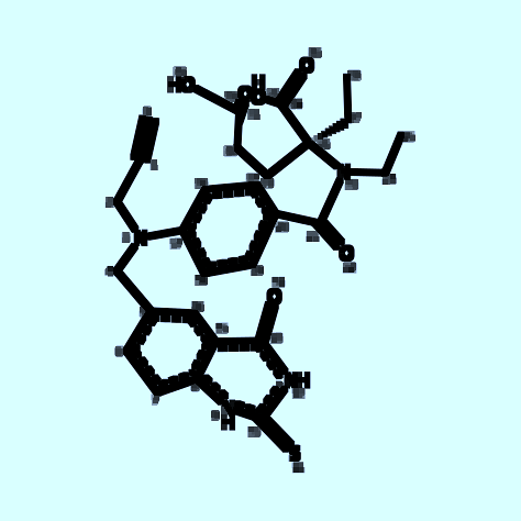 C#CCN(Cc1ccc2[nH]c(=S)[nH]c(=O)c2c1)c1ccc(C(=O)N(CC)[C@@](CC)(CCC(=O)O)C(=O)O)cc1